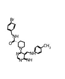 Cc1ccc(N/C=C2\C(=N)N=CN=C2N2CCC[C@@H](C(=O)NCc3ccc(Br)cc3)C2)cc1